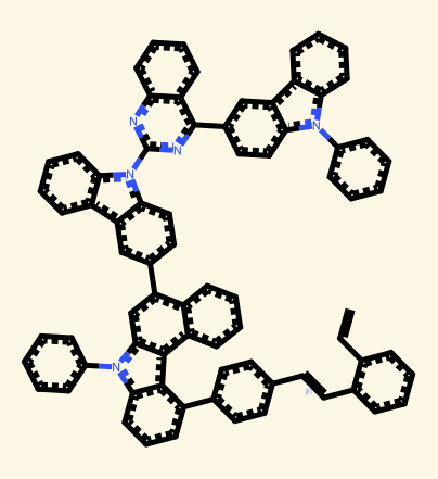 C=Cc1ccccc1/C=C/c1ccc(-c2cccc3c2c2c4ccccc4c(-c4ccc5c(c4)c4ccccc4n5-c4nc(-c5ccc6c(c5)c5ccccc5n6-c5ccccc5)c5ccccc5n4)cc2n3-c2ccccc2)cc1